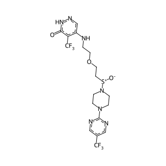 O=c1[nH]ncc(NCCOCC[S+]([O-])N2CCN(c3ncc(C(F)(F)F)cn3)CC2)c1C(F)(F)F